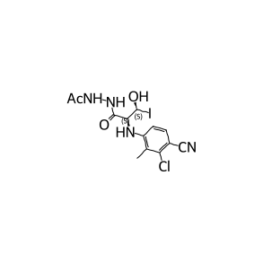 CC(=O)NNC(=O)[C@H](Nc1ccc(C#N)c(Cl)c1C)[C@@H](O)I